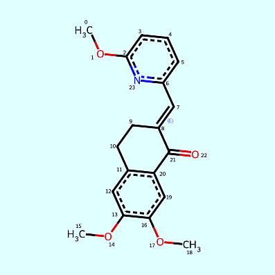 COc1cccc(/C=C2\CCc3cc(OC)c(OC)cc3C2=O)n1